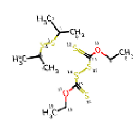 CC(C)SSC(C)C.CCOC(=S)SSC(=S)OCC